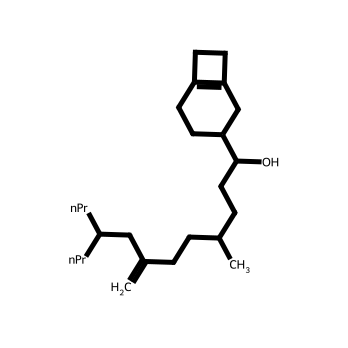 C=C(CCC(C)CCC(O)C1CCC2=C(CC2)C1)CC(CCC)CCC